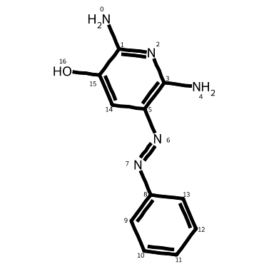 Nc1nc(N)c(/N=N/c2ccccc2)cc1O